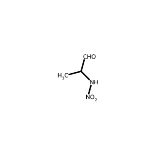 CC(C=O)N[N+](=O)[O-]